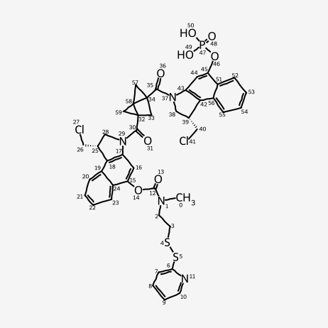 CN(CCSSc1ccccn1)C(=O)Oc1cc2c(c3ccccc13)[C@H](CCl)CN2C(=O)C12CC3(C(=O)N4C[C@@H](CCl)c5c4cc(OP(=O)(O)O)c4ccccc54)CC13C2